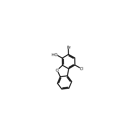 Oc1c(Br)cc(Cl)c2c1oc1ccccc12